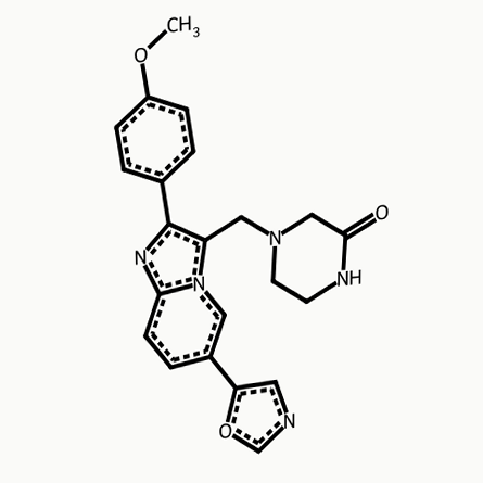 COc1ccc(-c2nc3ccc(-c4cnco4)cn3c2CN2CCNC(=O)C2)cc1